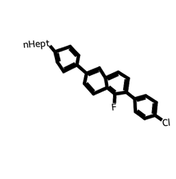 CCCCCCCc1ccc(-c2ccc3c(F)c(-c4ccc(Cl)cc4)ccc3c2)cc1